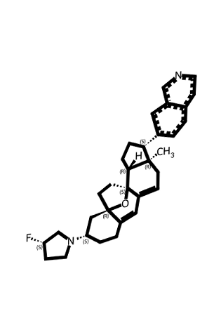 C[C@]12CC=C3C=C4CC[C@H](N5CC[C@H](F)C5)C[C@]45CC[C@]3(O5)[C@@H]1CC[C@@H]2c1ccc2ccncc2c1